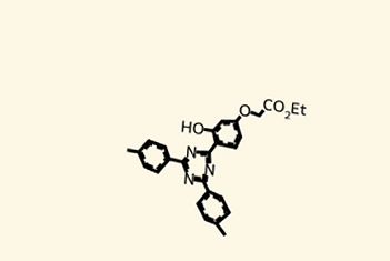 CCOC(=O)COc1ccc(-c2nc(-c3ccc(C)cc3)nc(-c3ccc(C)cc3)n2)c(O)c1